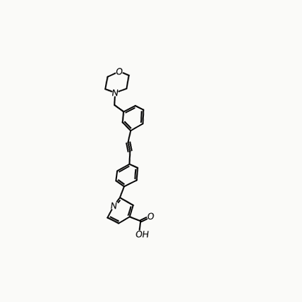 O=C(O)c1ccnc(-c2ccc(C#Cc3cccc(CN4CCOCC4)c3)cc2)c1